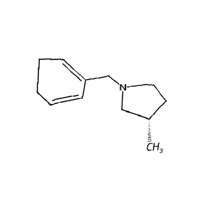 C[C@H]1CCN(CC2=CCCC=C2)C1